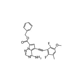 COc1cc(C)c(F)c(C#Cc2cc(C(=O)OCc3ccccc3)n3ncnc(N)c23)c1F